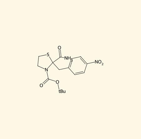 CC(C)(C)OC(=O)N1CCSC1(Cc1ccc([N+](=O)[O-])cc1)C(N)=O